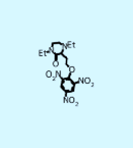 CCN1CCN(CC)C(CCOc2c([N+](=O)[O-])cc([N+](=O)[O-])cc2[N+](=O)[O-])C1=O